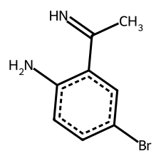 CC(=N)c1cc(Br)ccc1N